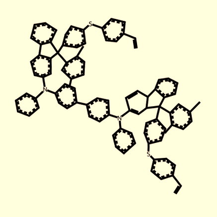 C=Cc1ccc(Sc2ccc(C3(c4cc(C)ccc4C)c4ccccc4-c4ccc(N(c5ccccc5)c5ccc(-c6ccc(N(C7=CC8C(C=C7)c7ccccc7C8(c7ccc(Sc8ccc(C=C)cc8)cc7)c7cc(C)ccc7C)c7ccccc7)cc6)cc5)cc43)cc2)cc1